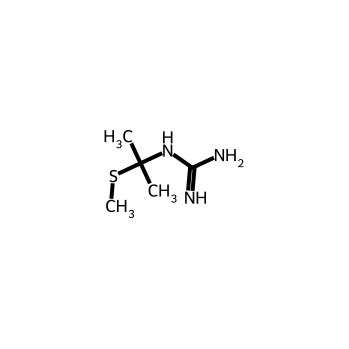 CSC(C)(C)NC(=N)N